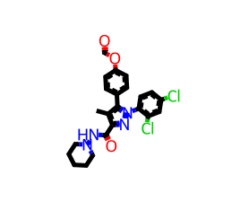 Cc1c(C(=O)NN2CCCCC2)nn(-c2ccc(Cl)cc2Cl)c1-c1ccc(OC=O)cc1